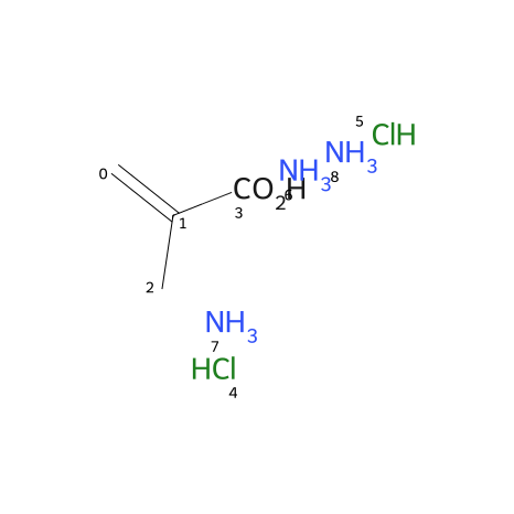 C=C(C)C(=O)O.Cl.Cl.N.N.N